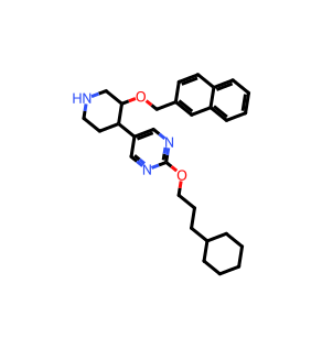 c1ccc2cc(COC3CNCCC3c3cnc(OCCCC4CCCCC4)nc3)ccc2c1